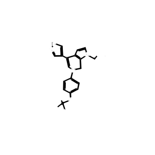 CCn1ccc2c1CN(c1ccc(OC(F)(F)F)cc1)C=C2c1cn[nH]c1